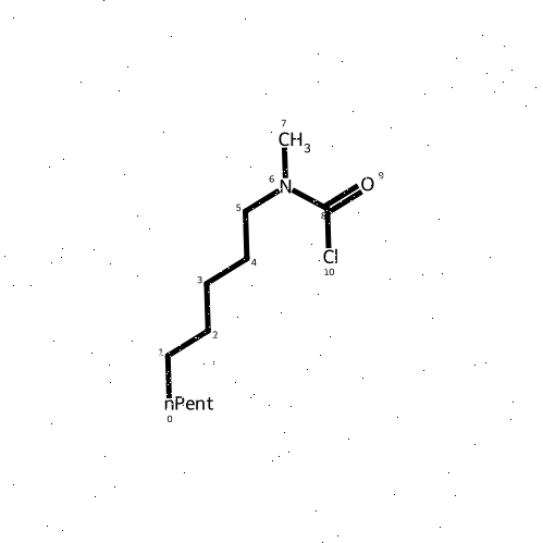 CCCCCCCCCCN(C)C(=O)Cl